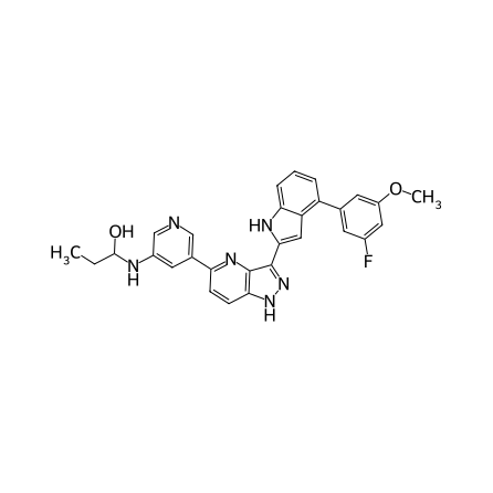 CCC(O)Nc1cncc(-c2ccc3[nH]nc(-c4cc5c(-c6cc(F)cc(OC)c6)cccc5[nH]4)c3n2)c1